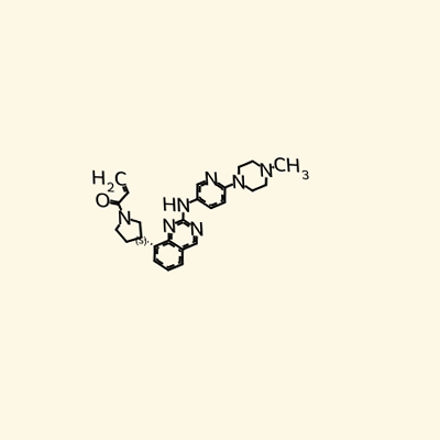 C=CC(=O)N1CC[C@@H](c2cccc3cnc(Nc4ccc(N5CCN(C)CC5)nc4)nc23)C1